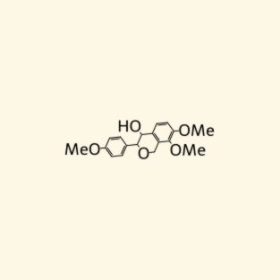 COc1ccc(C2OCc3c(ccc(OC)c3OC)C2O)cc1